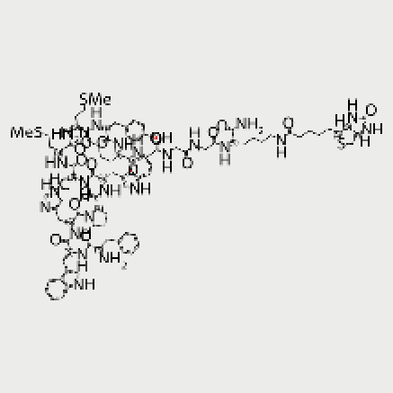 CSCC[C@H](NC(=O)[C@H](C)NC(=O)[C@H](Cc1c[nH]c2ccccc12)NC(=O)[C@@H]1CCCN1C(=O)[C@H](Cc1c[nH]cn1)NC(=O)[C@H](Cc1c[nH]c2ccccc12)NC(=O)[C@@H](N)Cc1ccccc1)C(=O)N[C@@H](CCSC)C(=O)N[C@@H](Cc1ccc(O)cc1)C(=O)N[C@@H](CCCCN)C(=O)NCC(=O)NCC(=O)NCC(=O)N[C@@H](CCCCNC(=O)CCCC[C@@H]1SC[C@@H]2NC(=O)N[C@@H]21)C(N)=O